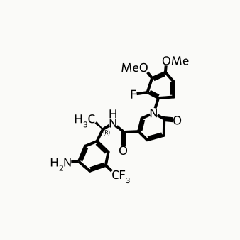 COc1ccc(-n2cc(C(=O)N[C@H](C)c3cc(N)cc(C(F)(F)F)c3)ccc2=O)c(F)c1OC